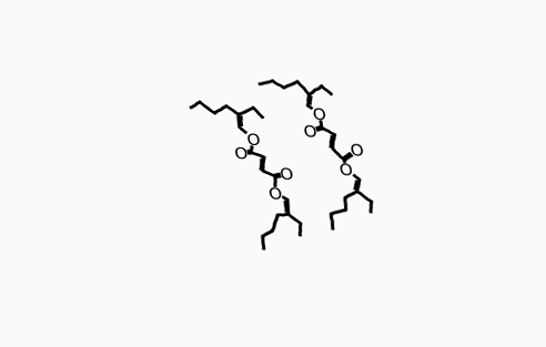 CCCCC(=COC(=O)C=CC(=O)OC=C(CC)CCCC)CC.CCCCC(=COC(=O)C=CC(=O)OC=C(CC)CCCC)CC